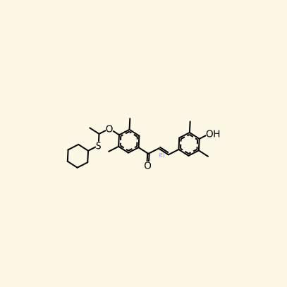 Cc1cc(/C=C/C(=O)c2cc(C)c(OC(C)SC3CCCCC3)c(C)c2)cc(C)c1O